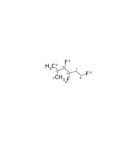 CC(C)C(F)C(F)CCF